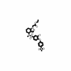 CCOC(=O)Cn1ncc2c1CCCC2N(C)S(=O)(=O)c1ccc(Oc2ccc(S(C)(=O)=O)cc2)c(Cl)c1